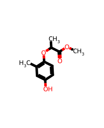 COC(=O)C(C)Oc1ccc(O)cc1C